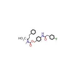 CN(C(=O)OCc1ccc(NC(=O)Cc2ccc(F)cc2)cc1)[C@@H](CCc1ccccc1)C(=O)O